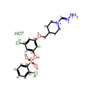 Cl.NN=CN1CCC(COc2cc(Cl)cc(OS(=O)(=O)c3ccccc3Cl)c2)CC1